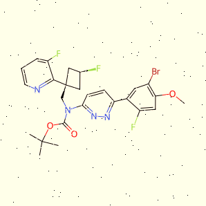 COc1cc(F)c(-c2ccc(N(C[C@]3(c4ncccc4F)C[C@H](F)C3)C(=O)OC(C)(C)C)nn2)cc1Br